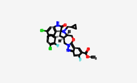 COC(=O)c1cc2c3n(nc2cc1F)C[C@@H]1[C@H](CO3)N(CC2CC2)[C@@]2(C(=O)Nc3cc(Cl)ccc32)[C@H]1c1cccc(Cl)c1F